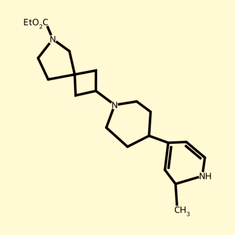 CCOC(=O)N1CCC2(CC(N3CCC(C4=CC(C)NC=C4)CC3)C2)C1